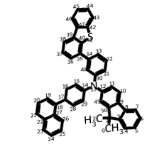 CC1(C)c2ccccc2-c2ccc(N(C3=CCC(c4cccc5ccccc45)C=C3)c3cccc(-c4cccc5c4sc4ccccc45)c3)cc21